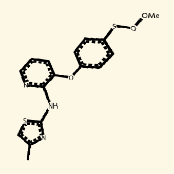 COOSc1ccc(Oc2cccnc2Nc2nc(C)cs2)cc1